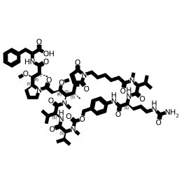 CC[C@H](C)[C@@H]([C@@H](CC(=O)N1CCC[C@H]1[C@H](OC)[C@@H](C)C(=O)NC(Cc1ccccc1)C(=O)O)OC)N(C)C(=O)[C@@H](NC(=O)[C@H](C(C)C)N(C)C(=O)OCc1ccc(NC(=O)[C@H](CCCNC(N)=O)NC(=O)C(C(C)C)N(C)C(=O)CCCCCN2C(=O)C=CC2=O)cc1)C(C)C